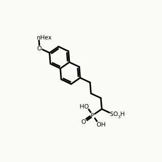 CCCCCCOc1ccc2cc(CCCC(P(=O)(O)O)S(=O)(=O)O)ccc2c1